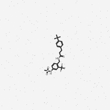 CC(C)(C)c1ccc(CCC(=S)NCc2ccc(NS(C)(=O)=O)cc2C(F)(F)F)cc1